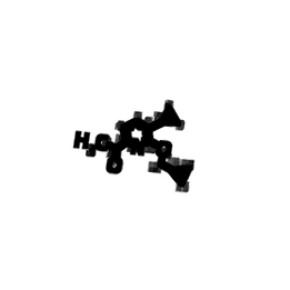 CC(=O)c1ccc(C2CC2)c(OCC2CC2)n1